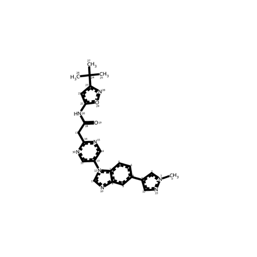 Cn1cc(-c2ccc3c(c2)ncn3-c2cnc(CC(=O)Nc3cc(C(C)(C)C)no3)nc2)cn1